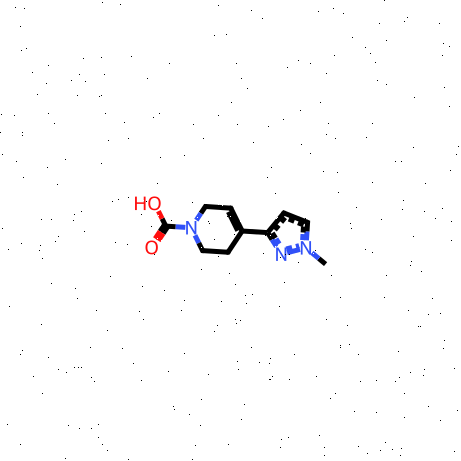 Cn1ccc(C2=CCN(C(=O)O)CC2)n1